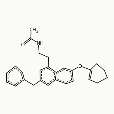 CC(=O)NCCc1cc(Cc2ccccc2)cc2ccc(OC3=CCCCC3)cc12